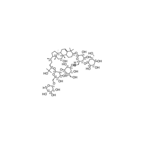 C[C@H](CC[C@@H](O[C@@H]1O[C@H](CO[C@H]2O[C@H](I)[C@@H](O)[C@H](O)[C@H]2O)[C@@H](O)[C@H](O)[C@H]1O[C@@H]1O[C@H](CO)[C@@H](O)[C@H](O)[C@H]1O)C(C)(C)O)C1CC[C@@]2(C)C3CC=C4C(CC[C@H](O[C@@H]5O[C@H](CO)[C@@H](O[C@H]6C[C@H](CO)[C@@H](O)[C@H](O)[C@H]6O)[C@H](O)[C@H]5O)C4(C)C)[C@]3(C)[C@H](O)C[C@]12C